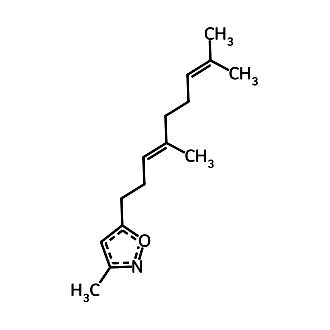 CC(C)=CCC/C(C)=C/CCc1cc(C)no1